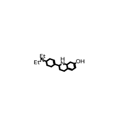 CCN(CC)C1CC=C(C2CCC3=CC=C(O)CC3N2)CC1